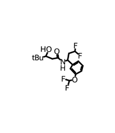 CC(C)(C)C(O)CC(=O)NC(CC(F)F)c1cccc(OC(F)F)c1